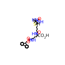 O=C(CCCC[C@@H]1SC[C@@H]2NC(=O)N[C@@H]21)N[C@@H](CCCCNC(=O)OCC1c2ccccc2-c2ccccc21)C(=O)O